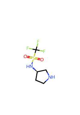 O=S(=O)(N[C@@H]1CCNC1)C(F)(F)F